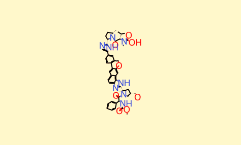 COC[C@H]1C[C@@H](c2nc3ccc4cc5c(cc4c3[nH]2)OCc2cc(-c3cnc([C@@H]4CC[C@H](C)N4C(=O)[C@H](C(C)C)N(C)C(=O)O)[nH]3)ccc2-5)N(C(=O)[C@H](NC(=O)OC)c2ccccc2)C1